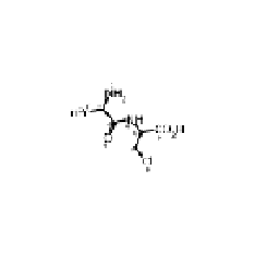 CCCC(N)C(=O)NC(CCl)C(=O)O